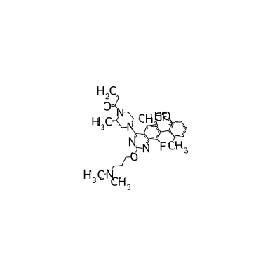 C=CC(=O)N1C[C@H](C)N(c2nc(OCCCN(C)C)nc3c(F)c(-c4c(C)cccc4O)c(C(F)(F)F)cc23)C[C@H]1C